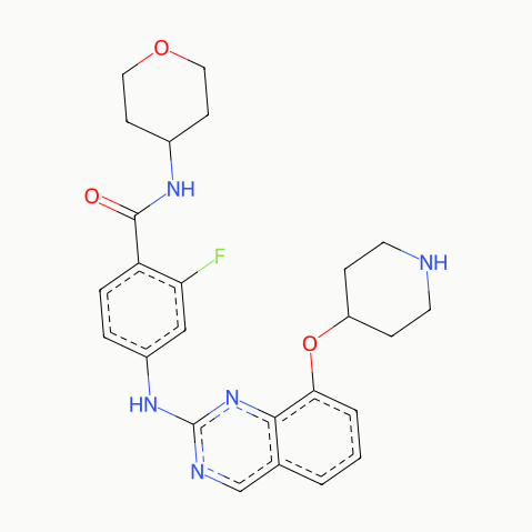 O=C(NC1CCOCC1)c1ccc(Nc2ncc3cccc(OC4CCNCC4)c3n2)cc1F